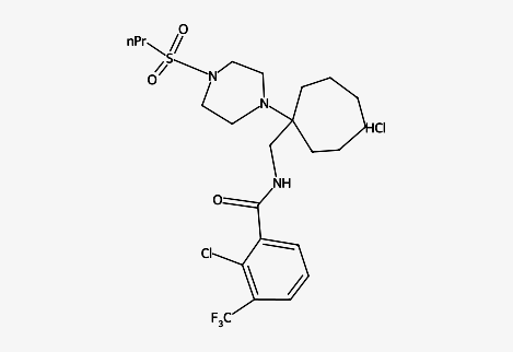 CCCS(=O)(=O)N1CCN(C2(CNC(=O)c3cccc(C(F)(F)F)c3Cl)CCCCCC2)CC1.Cl